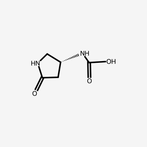 O=C(O)N[C@H]1CNC(=O)C1